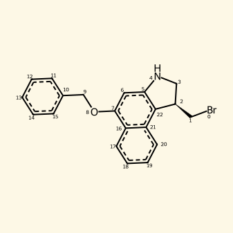 BrC[C@@H]1CNc2cc(OCc3ccccc3)c3ccccc3c21